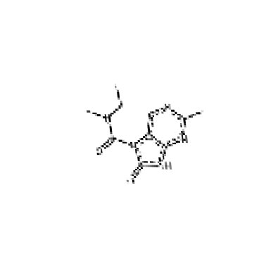 CCN(C)C(=O)n1c(=O)[nH]c2nc(C)ncc21